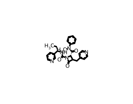 CC[C@@H](NC(=O)N1C(=O)C(Cc2ccncc2)[C@H]1C(=O)N(C)c1ccccc1)c1cccnc1